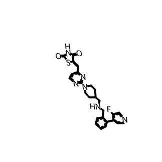 O=C1NC(=O)/C(=C/c2ccnc(N3CCC(CNCc4ccccc4-c4ccncc4F)CC3)n2)S1